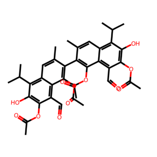 CC(=O)Oc1c(O)c(C(C)C)c2cc(C)c(-c3c(C)cc4c(C(C)C)c(O)c(OC(C)=O)c(C=O)c4c3OC(C)=O)c(OC(C)=O)c2c1C=O